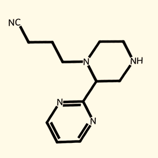 N#CCCCN1CCNCC1c1ncccn1